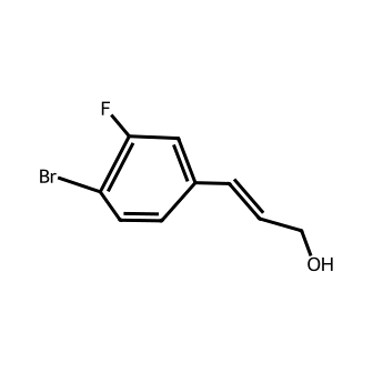 OC/C=C/c1ccc(Br)c(F)c1